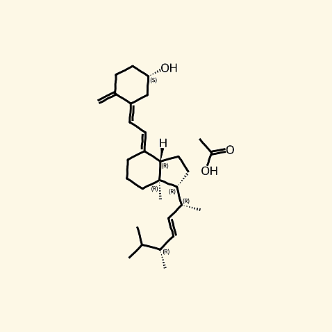 C=C1CC[C@H](O)CC1=CC=C1CCC[C@]2(C)[C@@H]([C@H](C)C=C[C@H](C)C(C)C)CC[C@@H]12.CC(=O)O